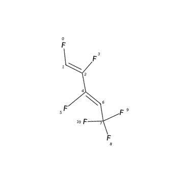 FC=C(F)C(F)=CC(F)(F)F